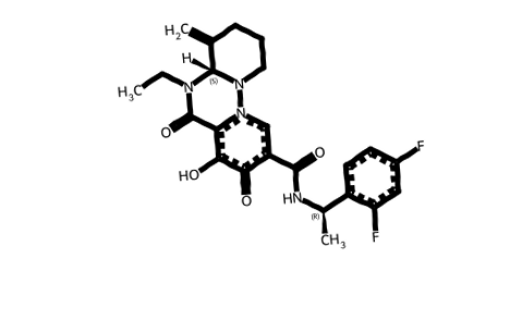 C=C1CCCN2[C@@H]1N(CC)C(=O)c1c(O)c(=O)c(C(=O)N[C@H](C)c3ccc(F)cc3F)cn12